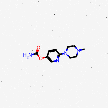 CN1CCN(c2ccc(OC(N)=O)cn2)CC1